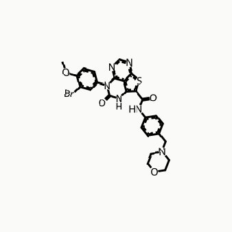 COc1ccc(N2C(=O)Nc3c(C(=O)Nc4ccc(CN5CCOCC5)cc4)sc4ncnc2c34)cc1Br